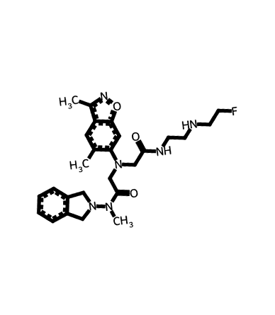 Cc1cc2c(C)noc2cc1N(CC(=O)NCCNCCF)CC(=O)N(C)N1Cc2ccccc2C1